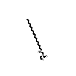 CCCCCCCCC=CCCCCCCCCNCN1CCSC1=S